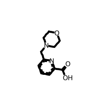 O=C(O)c1cccc(CN2CCOCC2)n1